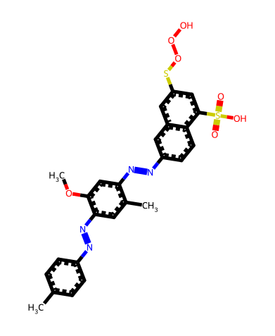 COc1cc(N=Nc2ccc3c(S(=O)(=O)O)cc(SOOO)cc3c2)c(C)cc1N=Nc1ccc(C)cc1